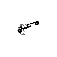 COc1ccc2nccc([C@H](Cl)CCC3CCN(CCCc4ccccc4)C[C@H]3C(=O)O)c2c1